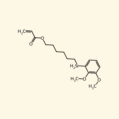 C=CC(=O)OCCCCCC[SiH2]c1cccc(OC)c1OC